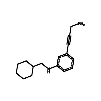 NCC#Cc1cccc(NCC2CCCCC2)c1